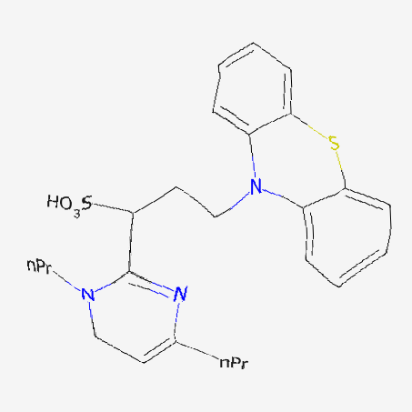 CCCC1=CCN(CCC)C(C(CCN2c3ccccc3Sc3ccccc32)S(=O)(=O)O)=N1